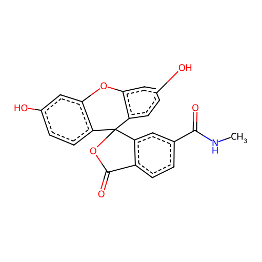 CNC(=O)c1ccc2c(c1)C1(OC2=O)c2ccc(O)cc2Oc2cc(O)ccc21